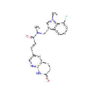 CN(Cc1cn(C)c2c(F)cccc12)C(=O)C=Cc1cnc2c(c1)CCC(=O)N2